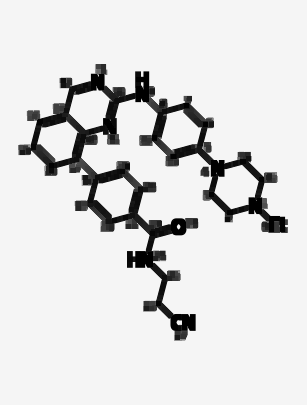 CCN1CCN(c2ccc(Nc3ncc4cccc(-c5ccc(C(=O)NCCC#N)cc5)c4n3)cc2)CC1